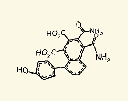 NC(=O)c1c(C(=O)O)c(C(=O)O)c2c(-c3ccc(O)cc3)cccc2c1C(N)=O